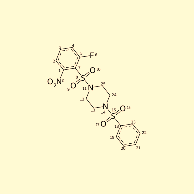 O=[N+]([O-])c1cccc(F)c1S(=O)(=O)N1CCN(S(=O)(=O)c2ccccc2)CC1